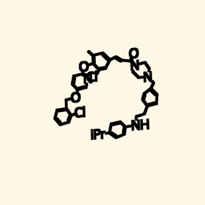 Cc1cc(/C=C/C(=O)N2CCN(Cc3ccc(CCNc4ccc(C(C)C)cc4)cc3)CC2)cc(Cl)c1Oc1ccc(OCc2ccccc2Cl)cn1